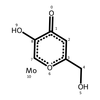 O=c1cc(CO)occ1O.[Mo]